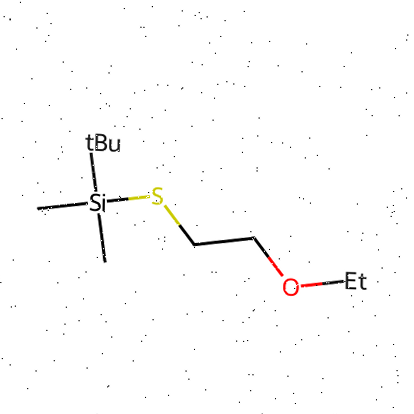 CCOCCS[Si](C)(C)C(C)(C)C